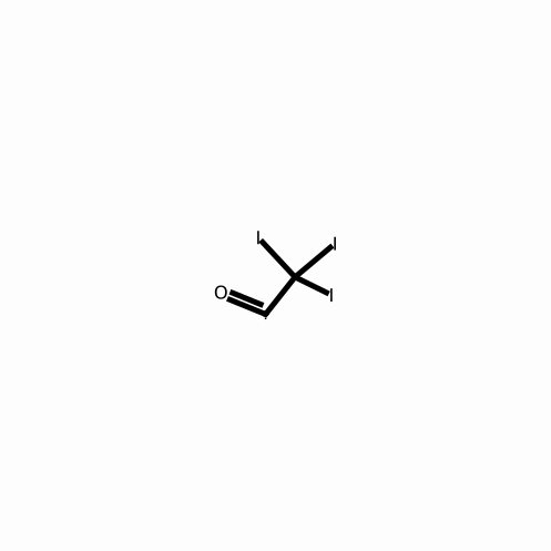 O=[C]C(I)(I)I